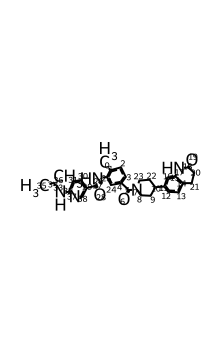 Cc1ccc(C(=O)N2CCC(c3ccc4c(c3)NC(=O)CC4)CC2)cc1NC(=O)c1ccc(NC(C)C)nc1